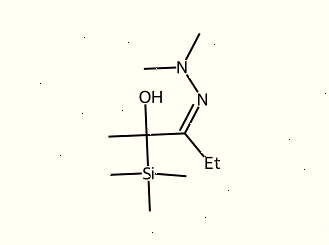 CCC(=NN(C)C)C(C)(O)[Si](C)(C)C